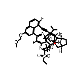 CCS(=O)(=O)c1nc2c3c(nc(-c4cc(OCOC)cc5ccc(F)c(C#C[Si](C(C)C)(C(C)C)C(C)C)c45)c(F)c3n1)CC[C@@H]1[C@@H]3CC[C@H](CN21)N3C(=O)OC(C)(C)C